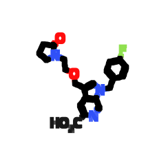 O=C(O)c1cc2c(COCCN3CCCC3=O)cn(Cc3ccc(F)cc3)c2cn1